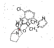 CC(C)(C)OC(=O)N1C2CCCC1CN(c1nc3c(Cl)ccc(-c4nccs4)c3o1)C2